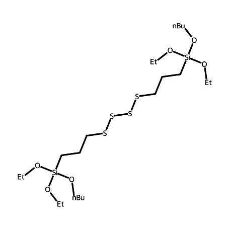 CCCCO[Si](CCCSSSSCCC[Si](OCC)(OCC)OCCCC)(OCC)OCC